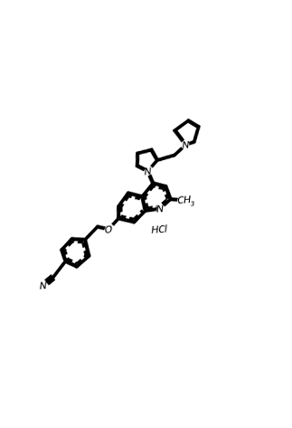 Cc1cc(N2CCCC2CN2CCCC2)c2ccc(OCc3ccc(C#N)cc3)cc2n1.Cl